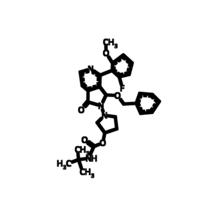 COc1cccc(F)c1-c1nccc2c1C(OCc1ccccc1)N(N1CCC(OC(=O)NC(C)(C)C)C1)C2=O